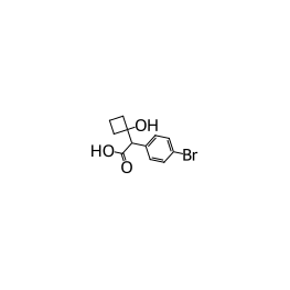 O=C(O)C(c1ccc(Br)cc1)C1(O)CCC1